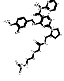 COc1ccc(CNc2nc(N3CCCC3COC(=O)COCCO[N+](=O)[O-])ncc2C(=O)N(C)c2ncccn2)cc1Cl